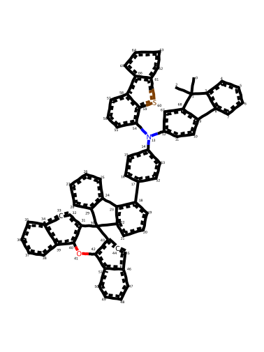 CC1(C)c2ccccc2-c2ccc(N(c3ccc(-c4cccc5c4-c4ccccc4C54c5ccc6ccccc6c5Oc5c4ccc4ccccc54)cc3)c3cccc4c3sc3ccccc34)cc21